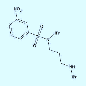 CC(C)NCCCN(C(C)C)S(=O)(=O)c1cccc([N+](=O)[O-])c1